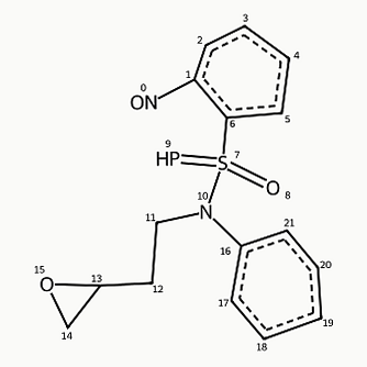 O=Nc1ccccc1S(=O)(=P)N(CCC1CO1)c1ccccc1